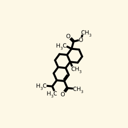 COC(=O)C1(C)CCCC2(C)C3C=C(C(C)=O)C(C(C)C)CC3CCC12